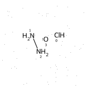 Cl.NN.[O]